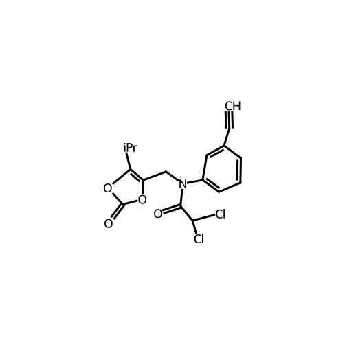 C#Cc1cccc(N(Cc2oc(=O)oc2C(C)C)C(=O)C(Cl)Cl)c1